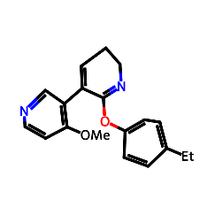 CCc1ccc(OC2=NCCC=C2c2cnccc2OC)cc1